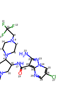 CN1CCC(N2CCN(CC(F)(F)F)CC2)C(NC(=O)c2c(N)nn3cc(Cl)cnc23)C1